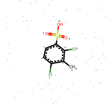 Cc1c(Cl)ccc(S(=O)(=O)O)c1Cl